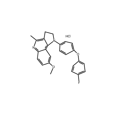 COc1ccc2nc(C)c3c(c2c1)N(c1ccc(Oc2ccc(F)cc2)cc1)CC3.Cl